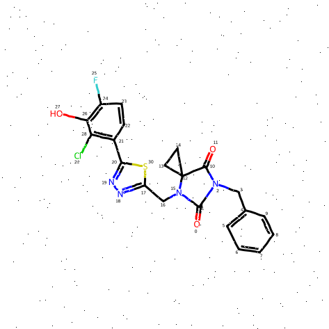 O=C1N(Cc2ccccc2)C(=O)C2(CC2)N1Cc1nnc(-c2ccc(F)c(O)c2Cl)s1